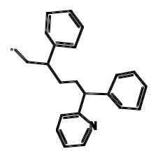 [CH2]CC(CCC(c1ccccc1)c1ccccn1)c1ccccc1